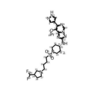 CC(C)Oc1c(-c2cn[nH]c2)ncn2nc(N[C@H]3CCN(S(=O)(=O)CCCCN4CCC(C(F)F)C4)C[C@H]3C)nc12